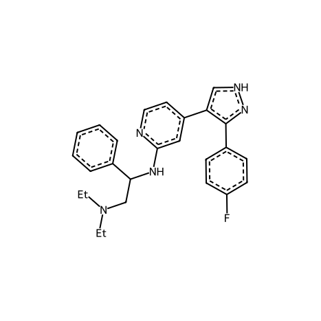 CCN(CC)CC(Nc1cc(-c2c[nH]nc2-c2ccc(F)cc2)ccn1)c1ccccc1